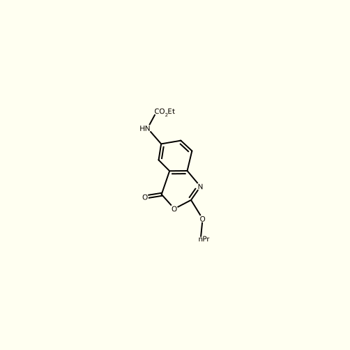 CCCOc1nc2ccc(NC(=O)OCC)cc2c(=O)o1